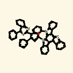 c1ccc(-c2cc(-n3c4ccccc4c4c5c6ccccc6sc5c5c6ccccc6n(-c6ccccc6)c5c43)ccc2-c2nc(-c3ccccc3)c3ccccc3n2)cc1